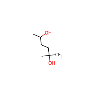 CC(O)CCC(C)(O)C(F)(F)F